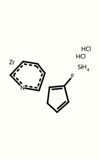 Cl.Cl.FC1=CCC=C1.[SiH4].[Zr].c1ccncc1